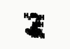 CN1CCC(Nc2ccc(Nc3ncc4cc(C5CCCCN5C)c(=O)n(Cc5cncnc5[S+]([O-])c5ccncc5)c4n3)cc2)C1